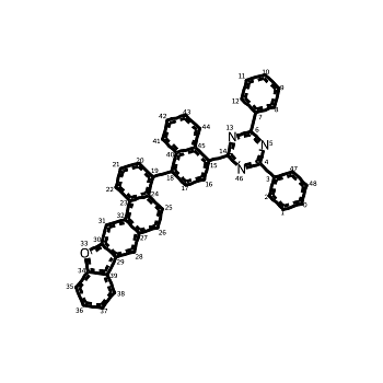 c1ccc(-c2nc(-c3ccccc3)nc(-c3ccc(-c4cccc5c4ccc4cc6c(cc45)oc4ccccc46)c4ccccc34)n2)cc1